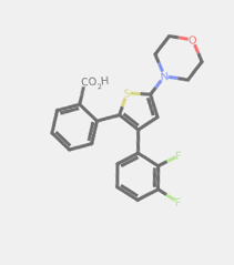 O=C(O)c1ccccc1-c1sc(N2CCOCC2)cc1-c1cccc(F)c1F